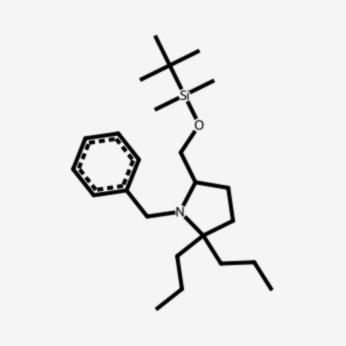 CCCC1(CCC)CCC(CO[Si](C)(C)C(C)(C)C)N1Cc1ccccc1